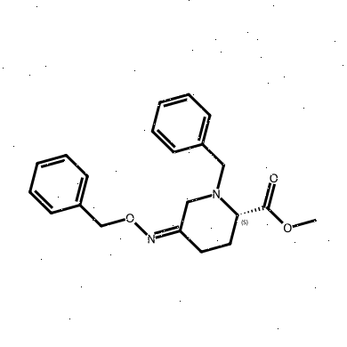 COC(=O)[C@@H]1CCC(=NOCc2ccccc2)CN1Cc1ccccc1